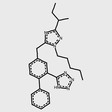 CCCCCn1nc(C(C)CC)nc1Cc1ccc(-c2ccccc2)c(-c2nnn[nH]2)c1